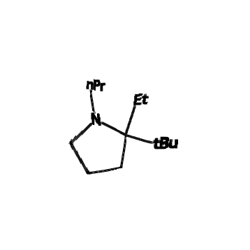 CCCN1CCCC1(CC)C(C)(C)C